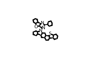 c1ccc(-c2nc(-n3c4ccccc4c4cc5ccc6c7ccccc7sc6c5cc43)c3oc4ccccc4c3n2)cc1